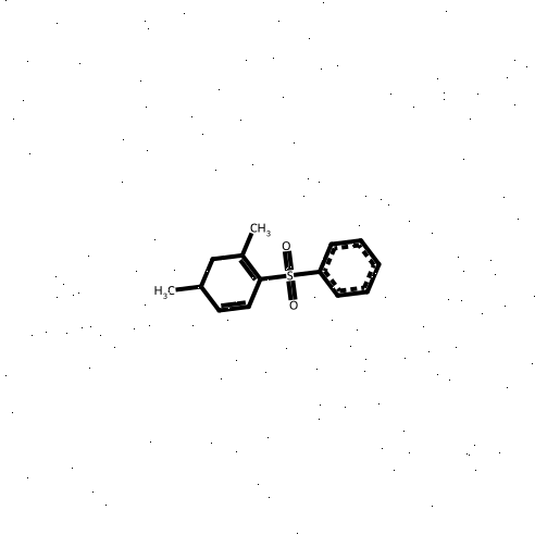 CC1=C(S(=O)(=O)c2ccccc2)C=CC(C)C1